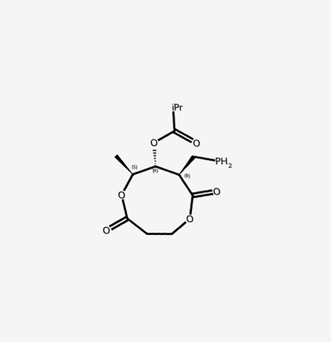 CC(C)C(=O)O[C@H]1[C@H](C)OC(=O)CCOC(=O)[C@@H]1CP